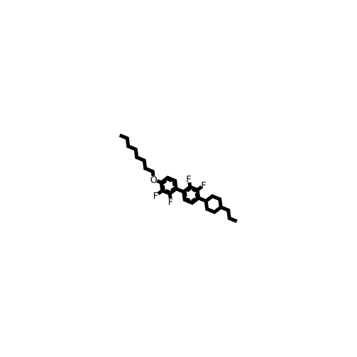 CCCCCCCCOc1ccc(-c2ccc(C3CCC(CCC)CC3)c(F)c2F)c(F)c1F